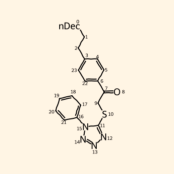 CCCCCCCCCCCCc1ccc(C(=O)CSc2nnnn2-c2ccccc2)cc1